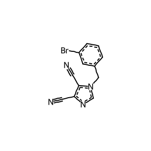 N#Cc1ncn(Cc2cccc(Br)c2)c1C#N